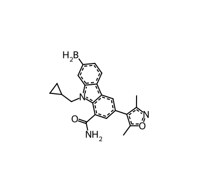 Bc1ccc2c3cc(-c4c(C)noc4C)cc(C(N)=O)c3n(CC3CC3)c2c1